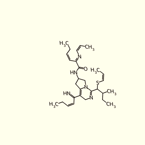 C\C=C/N=C(\C=C/CC)C(=O)NC1CC2=C(C(=N)/C=C\CC)CN=C(C(S/C=C\C)C(C)CC)N2C1